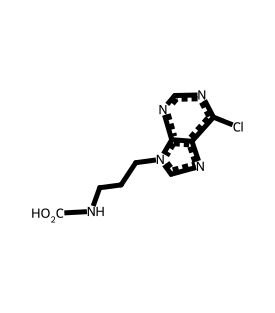 O=C(O)NCCCn1cnc2c(Cl)ncnc21